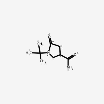 CC(C)(C)N1CC(C(N)=O)CC1=O